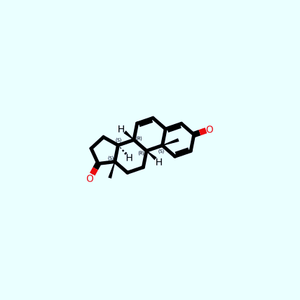 C[C@]12C=CC(=O)C=C1C=C[C@@H]1[C@H]2CC[C@]2(C)C(=O)CC[C@@H]12